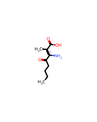 CCCCC(=O)/C(N)=C(\C)C(=O)O